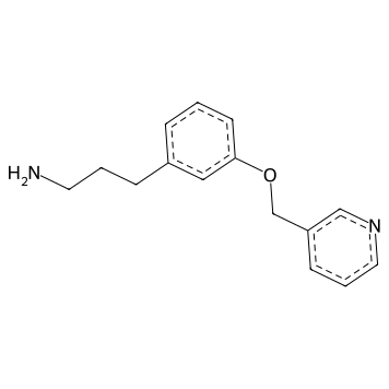 NCCCc1cccc(OCc2cccnc2)c1